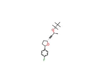 C[C@@H](C#C[C@H]1CC[C@H](c2ccc(F)cc2)O1)O[Si](C)(C)C(C)(C)C